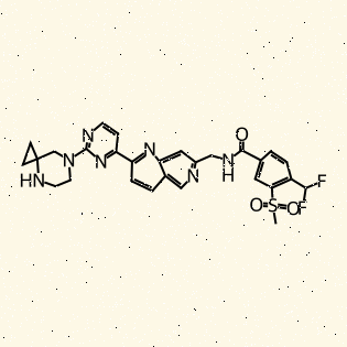 CS(=O)(=O)c1cc(C(=O)NCc2cc3nc(-c4ccnc(N5CCNC6(CC6)C5)n4)ccc3cn2)ccc1C(F)F